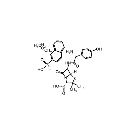 CC1(C)S[C@@H]2[C@H](NC(=O)[C@H](N)c3ccc(O)cc3)C(=O)N2[C@H]1C(=O)O.O.O.O.O=S(=O)(O)c1ccc2ccccc2c1